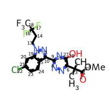 COC(=O)C(C)(C)c1nnc(-c2nn(CCC(F)(F)C(F)(F)F)c3cc(Cl)ccc23)nc1O